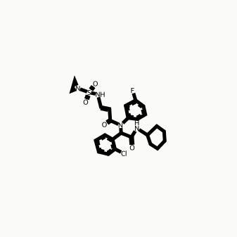 O=C(NC1CCCCC1)C(c1ccccc1Cl)N(C(=O)C=CNS(=O)(=O)N1CC1)c1cccc(F)c1